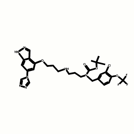 CC(C)(C)OC(=O)N(CCCNCCCOc1cc(-n2cnnc2)cc2[nH]ncc12)Cc1ccc(OC(F)(F)F)c(Cl)c1